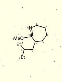 CCC(CC)CC1CCCCN=C1OC